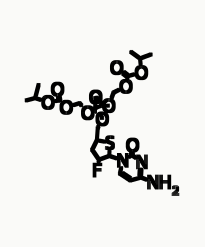 CC(C)OC(=O)OCOP(=O)(OCOC(=O)OC(C)C)OCC1CC(F)C(n2ccc(N)nc2=O)S1